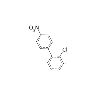 O=[N+]([O-])c1ccc(-c2ccc[c]c2Cl)cc1